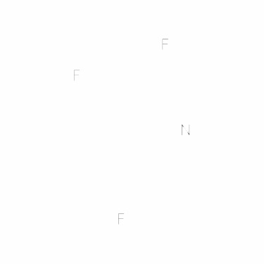 Fc1[c]c(F)c(F)nc1